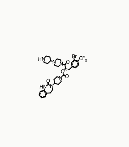 O=C(O[C@H](Cc1ccc(C(F)(F)F)c(Br)c1)C(=O)N1CCN(C2CCNCC2)CC1)N1CCC(N2CCc3ccccc3NC2=O)CC1